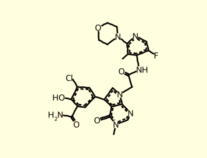 Cc1c(N2CCOCC2)ncc(F)c1NC(=O)Cn1cc(-c2cc(Cl)c(O)c(C(N)=O)c2)c2c(=O)n(C)cnc21